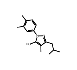 Cc1ccc(-n2nc(CC(C)C)c(C)c2O)cc1C